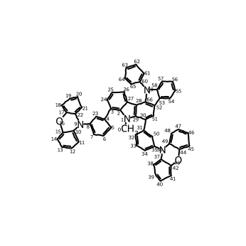 Cn1c2c(-c3cccc(N4c5ccccc5Oc5ccccc54)c3)cccc2c2c1c(-c1cccc(N3c4ccccc4Oc4ccccc43)c1)cc1c3ccccc3n(-c3ccccc3)c12